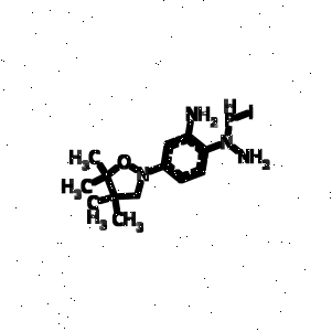 CC1(C)CN(c2ccc(N(N)PI)c(N)c2)OC1(C)C